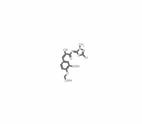 CCc1nn(C)c(=NC(=O)C(C#N)=Cc2ccc(OCOC)c(OC)c2)s1